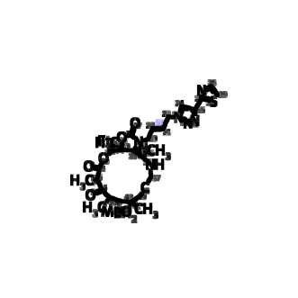 B[C@@H]1[C@@H](C)C(=O)[C@@H](C)C(=O)O[C@H](CC)[C@@]2(C)OC(=O)N(C/C=C/Cn3cc(-c4nccs4)nn3)[C@@H]2[C@H](C)NCCC[C@@]1(C)OC